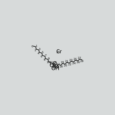 CCCCCCCCCCCCOP(=O)(O)OCCCCCCCCCCCC.[Cr]